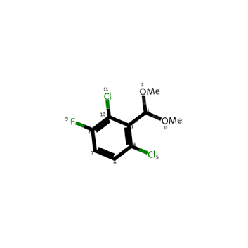 COC(OC)c1c(Cl)ccc(F)c1Cl